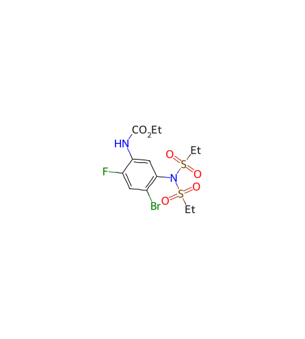 CCOC(=O)Nc1cc(N(S(=O)(=O)CC)S(=O)(=O)CC)c(Br)cc1F